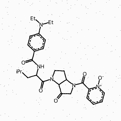 CCN(CC)c1ccc(C(=O)NC(CC(C)C)C(=O)N2CCC3C2C(=O)CN3C(=O)c2cccc[n+]2[O-])cc1